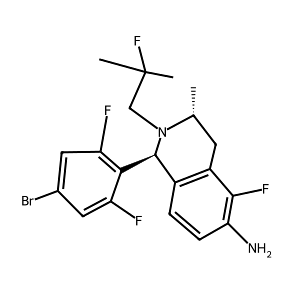 C[C@@H]1Cc2c(ccc(N)c2F)[C@@H](c2c(F)cc(Br)cc2F)N1CC(C)(C)F